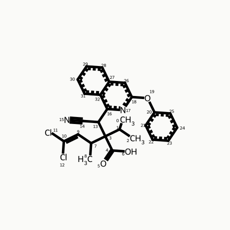 CC(C)C(C(=O)O)(C(C)C=C(Cl)Cl)C(C#N)c1nc(Oc2ccccc2)cc2ccccc12